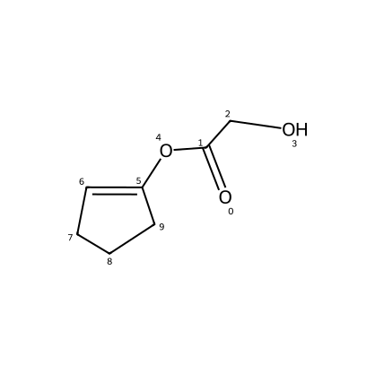 O=C(CO)OC1=CCCC1